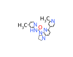 Cc1ccnc(NC(=O)N2c3nc(-c4ccnc(C)c4)ccc3N3CCC2C3)c1